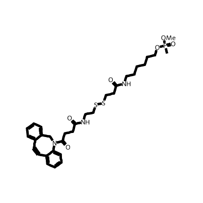 COP(C)(=O)OCCCCCCNC(=O)CCSSCCNC(=O)CCC(=O)N1Cc2ccccc2C#Cc2ccccc21